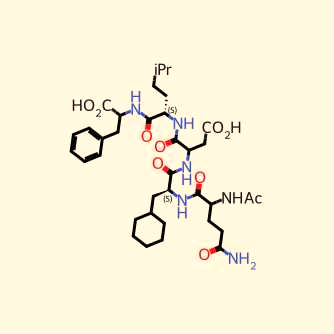 CC(=O)NC(CCC(N)=O)C(=O)N[C@@H](CC1CCCCC1)C(=O)NC(CC(=O)O)C(=O)N[C@@H](CCC(C)C)C(=O)NC(Cc1ccccc1)C(=O)O